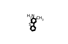 CC1C=c2c(sc3ccccc23)=CC1N